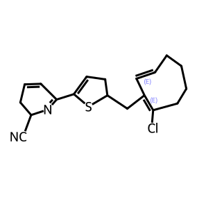 N#CC1CC=CC(C2=CCC(CC3=C(\Cl)CCCC\C=C\3)S2)=N1